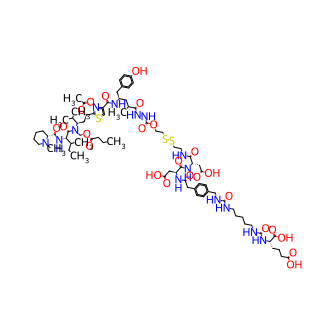 CCCC(=O)OCN(C(=O)[C@@H](NC(=O)[C@H]1CCCCN1C)C(C)CC)[C@H](C[C@@H](OC(C)=O)c1nc(C(=O)N[C@@H](Cc2ccc(O)cc2)C[C@H](C)C(=O)NNC(=O)OCCSSCCNC(=O)[C@H](CC(=O)O)NC(=O)[C@H](CC(=O)O)NC(=O)Cc2ccc(CNC(=O)NCCCCCNC(=O)N[C@@H](CCCC(=O)O)C(=O)O)cc2)cs1)C(C)C